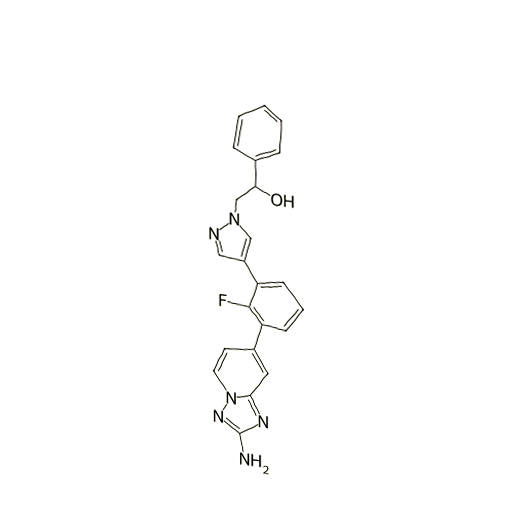 Nc1nc2cc(-c3cccc(-c4cnn(CC(O)c5ccccc5)c4)c3F)ccn2n1